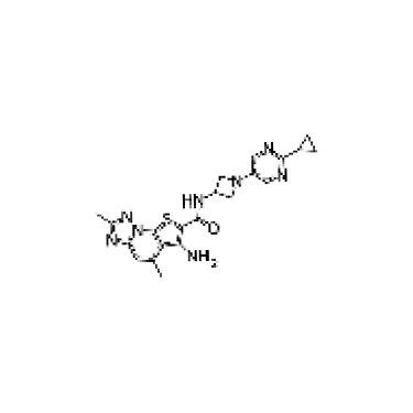 Cc1nc2cc(C)c3c(N)c(C(=O)NC4CN(c5cnc(C6CC6)nc5)C4)sc3n2n1